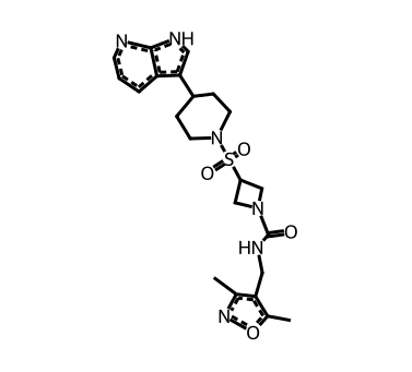 Cc1noc(C)c1CNC(=O)N1CC(S(=O)(=O)N2CCC(c3c[nH]c4ncccc34)CC2)C1